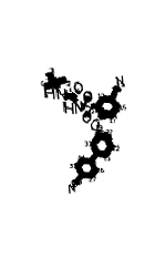 CC(C)(C)NC(=O)NS(=O)(=O)c1cc(C#N)ccc1Oc1cccc(-c2ccc(C#N)cc2)c1